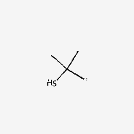 [CH]C(C)(C)S